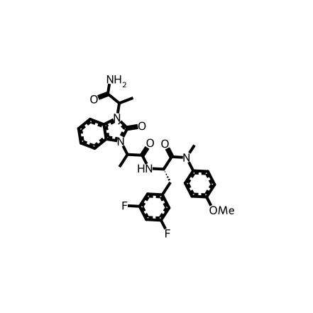 COc1ccc(N(C)C(=O)[C@H](Cc2cc(F)cc(F)c2)NC(=O)C(C)n2c(=O)n(C(C)C(N)=O)c3ccccc32)cc1